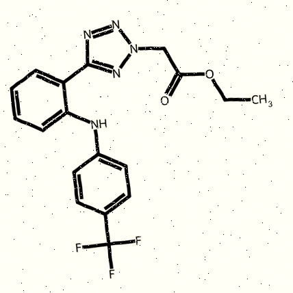 CCOC(=O)Cn1nnc(-c2ccccc2Nc2ccc(C(F)(F)F)cc2)n1